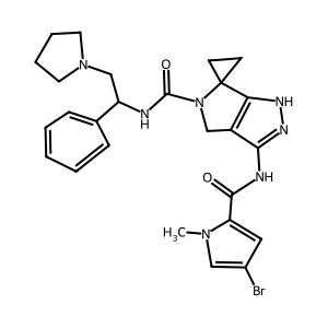 Cn1cc(Br)cc1C(=O)Nc1n[nH]c2c1CN(C(=O)NC(CN1CCCC1)c1ccccc1)C21CC1